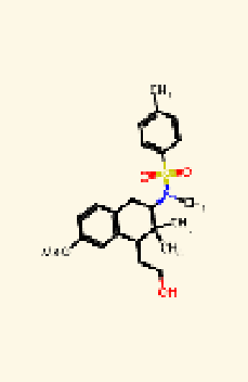 COc1ccc2c(c1)C(CCO)C(C)(C)C(N(C)S(=O)(=O)c1ccc(C)cc1)C2